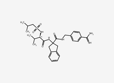 CC(C)CS(=O)(=O)N[C@@H](C(=O)NC1(C(=O)NCc2ccc(C(=N)N)cc2)Cc2ccccc2C1)C(C)C